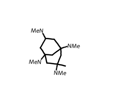 CNC1CC2(NC)CC(C)(NC)CC(NC)(C1)C2